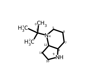 CC(C)(C)N1CCCC2NCCC21